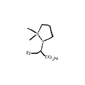 CCC(C(=O)O)N1CCC[Si]1(C)C